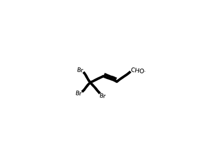 O=[C]C=CC(Br)(Br)Br